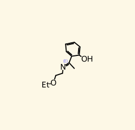 CCOCC/N=C(\C)c1ccccc1O